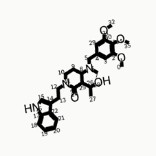 COc1cc(CN(C)C2CCN(CCc3c[nH]c4ccccc34)C(=O)C2C(C)O)cc(OC)c1OC